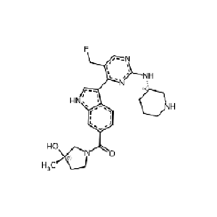 C[C@]1(O)CCN(C(=O)c2ccc3c(-c4nc(N[C@H]5CCCNC5)ncc4CF)c[nH]c3c2)C1